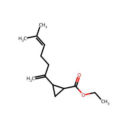 C=C(CCC=C(C)C)C1CC1C(=O)OCC